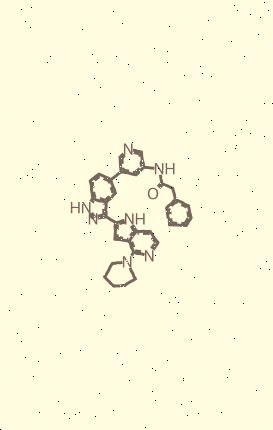 O=C(Cc1ccccc1)Nc1cncc(-c2ccc3[nH]nc(-c4cc5c(N6CCCCC6)nccc5[nH]4)c3c2)c1